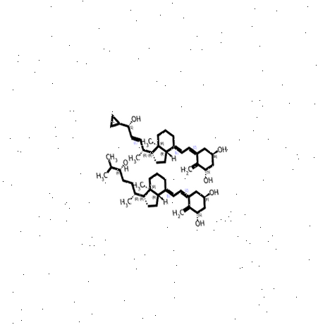 C=C1/C(=C\C=C2/CCC[C@]3(C)[C@@H]([C@H](C)/C=C/[C@@H](O)C4CC4)CC[C@@H]23)C[C@@H](O)C[C@@H]1O.C=C1/C(=C\C=C2/CCC[C@]3(C)[C@@H]([C@H](C)CC[C@@H](O)C(C)C)CC[C@@H]23)C[C@@H](O)C[C@@H]1O